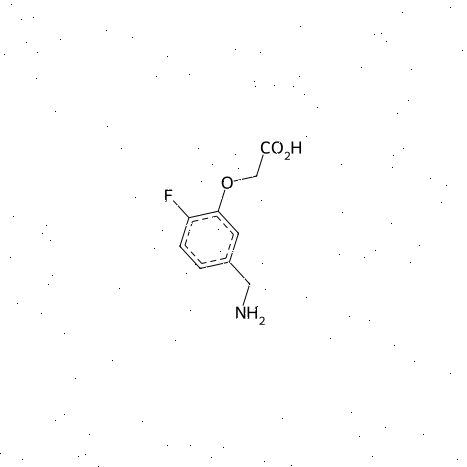 NCc1ccc(F)c(OCC(=O)O)c1